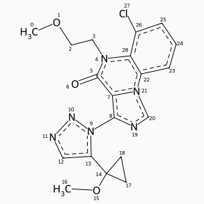 COCCn1c(=O)c2c(-n3nncc3C3(OC)CC3)ncn2c2cccc(Cl)c21